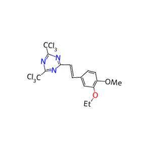 CCOc1cc(C=Cc2nc(C(Cl)(Cl)Cl)nc(C(Cl)(Cl)Cl)n2)ccc1OC